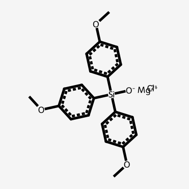 COc1ccc([Si]([O-])(c2ccc(OC)cc2)c2ccc(OC)cc2)cc1.[Cl-].[Mg+2]